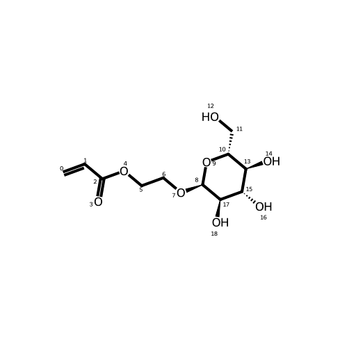 C=CC(=O)OCCO[C@H]1O[C@H](CO)[C@@H](O)[C@H](O)[C@H]1O